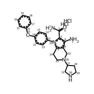 Cl.Cl.NC(=O)c1c(N)c2c(n1-c1ccc(Oc3ccccc3)cc1)CCN(C1CCNC1)C2